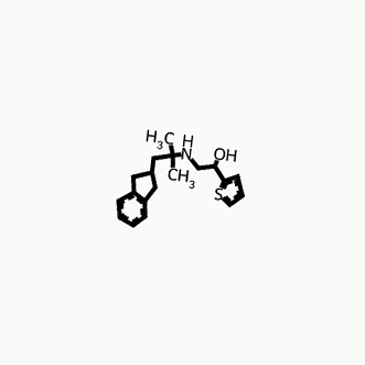 CC(C)(CC1Cc2ccccc2C1)NCC(O)c1cccs1